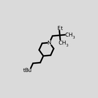 CCC(C)(C)CN1CCC(CCC(C)(C)C)CC1